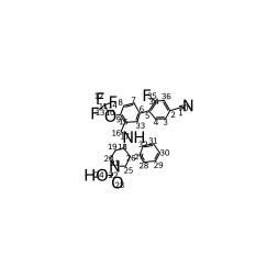 N#Cc1ccc(-c2ccc(OC(F)(F)F)c(CN[C@H]3CCN(C(=O)O)C[C@H]3c3ccccc3)c2)c(F)c1